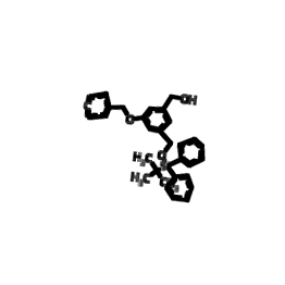 CC(C)(C)[Si](OCc1cc(CO)cc(OCc2ccccc2)c1)(c1ccccc1)c1ccccc1